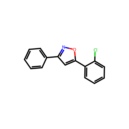 Clc1ccccc1-c1cc(-c2ccccc2)no1